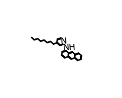 CCCCCCCCc1ccnc(Nc2cccc3cc4ccccc4cc23)c1